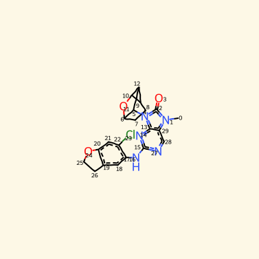 Cn1c(=O)n(C2C3CCC4C(O3)C42)c2nc(Nc3cc4c(cc3Cl)OCC4)ncc21